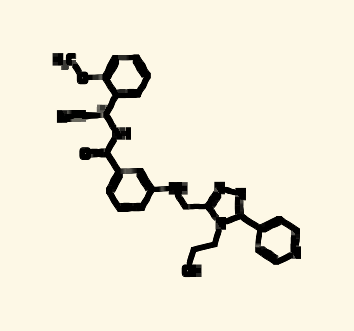 COc1ccccc1[C@H](C#N)NC(=O)c1cccc(NCc2nnc(-c3ccncc3)n2CCO)c1